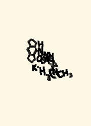 CN(C)C1(CS(=O)(=O)NC(=O)Nc2c3c(cc4c2CCC4)CCC3)CC1.[K]